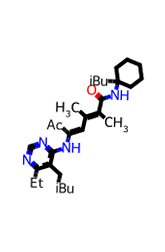 CCc1ncnc(N/C(=C/C(C)=C(\C)C(=O)NC2(C(C)CC)CCCCC2)C(C)=O)c1CC(C)CC